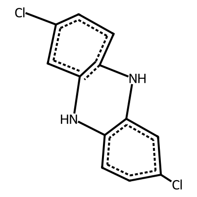 Clc1ccc2c(c1)Nc1ccc(Cl)cc1N2